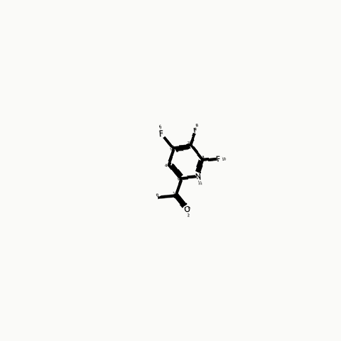 CC(=O)c1cc(F)c(F)c(F)n1